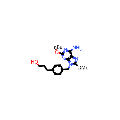 CCCCOc1nc(N)c2nc(OC)n(Cc3ccc(CCCO)cc3)c2n1